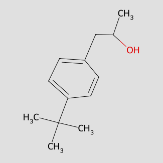 CC(O)Cc1ccc(C(C)(C)C)cc1